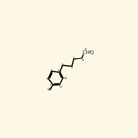 Cc1ccc(CCCCC=O)cc1